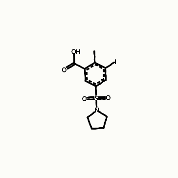 Cc1c(I)cc(S(=O)(=O)N2CCCC2)cc1C(=O)O